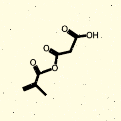 C=C(C)C(=O)OC(=O)CC(=O)O